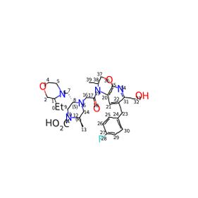 CCC1COCCN1C[C@H]1CN(C(=O)O)[C@H](C)CN1CC(=O)N1c2cc(Cc3ccc(F)cc3)c(CO)nc2OCC1C